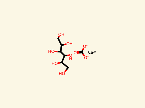 O=C([O-])[O-].OCC(O)C(O)C(O)C(O)CO.[Ca+2]